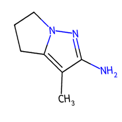 Cc1c(N)nn2c1CCC2